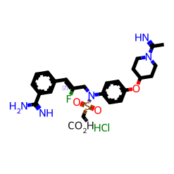 CC(=N)N1CCC(Oc2ccc(N(C/C(F)=C/c3cccc(C(=N)N)c3)S(=O)(=O)CC(=O)O)cc2)CC1.Cl